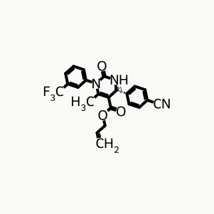 C=CCOC(=O)C1=C(C)N(c2cccc(C(F)(F)F)c2)C(=O)N[C@@H]1c1ccc(C#N)cc1